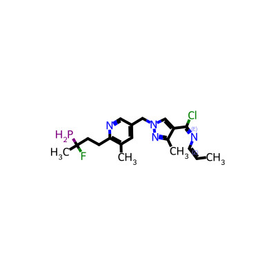 C/C=C\N=C(\Cl)c1cn(Cc2cnc(CCC(C)(F)P)c(C)c2)nc1C